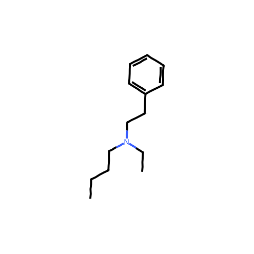 CCCCN(CC)C[CH]c1ccccc1